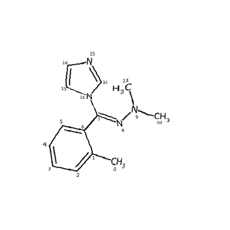 Cc1ccccc1C(=NN(C)C)n1ccnc1